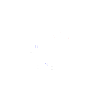 CCN(CC)CCCCS(=O)(=O)[O-].CC[n+]1ccccc1